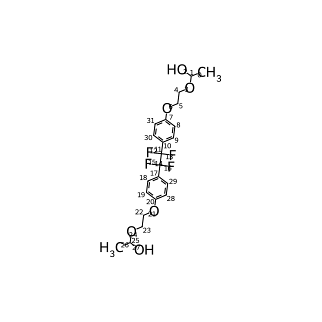 CC(O)OCCOc1ccc(C(F)(F)C(F)(F)c2ccc(OCCOC(C)O)cc2)cc1